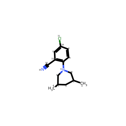 CC1CC(C)CN(c2ccc(Cl)cc2C#N)C1